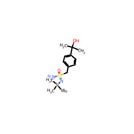 CC(C)(O)c1ccc(CS(N)(=O)=N[Si](C)(C)C(C)(C)C)cc1